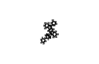 c1ccc(-c2cnc(-n3c4ccccc4c4cc5c(cc43)c3ccccc3n5-c3ccccc3)nc2)cc1